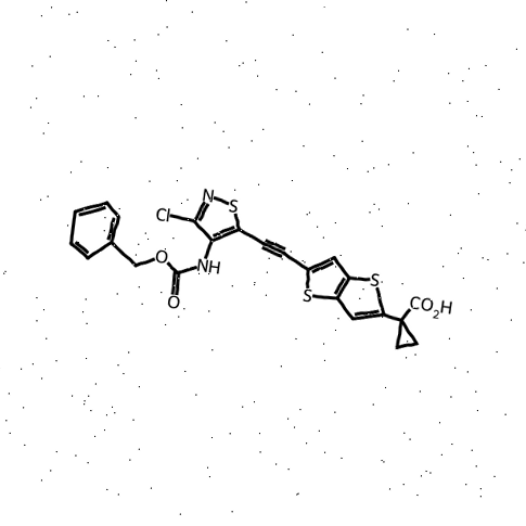 O=C(Nc1c(Cl)nsc1C#Cc1cc2sc(C3(C(=O)O)CC3)cc2s1)OCc1ccccc1